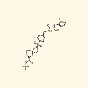 C=C/C(=C\n1ccnc1C)C(=O)NCc1ccc(S(=O)(=O)N2CCC3(CCCN(C(=O)OC(C)(C)C)C3)C2)cc1